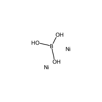 OB(O)O.[Ni].[Ni]